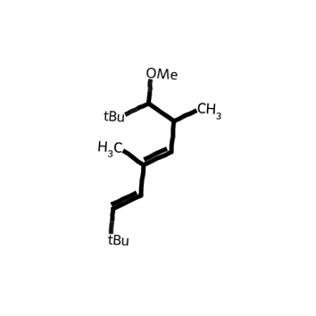 COC(C(C)/C=C(C)/C=C/C(C)(C)C)C(C)(C)C